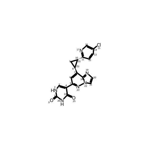 O=c1[nH]cc(-c2cc([C@H]3C[C@@H]3c3ccc(Cl)cn3)c3nccn3n2)c(=O)[nH]1